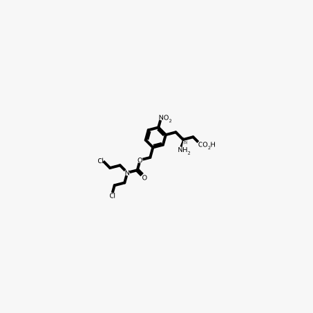 N[C@H](CC(=O)O)Cc1cc(COC(=O)N(CCCl)CCCl)ccc1[N+](=O)[O-]